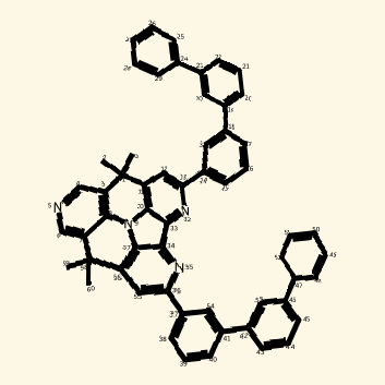 CC1(C)c2cncc3c2-n2c4c1cc(-c1cccc(-c5cccc(-c6ccccc6)c5)c1)nc4c1nc(-c4cccc(-c5cccc(C6C=CC=CC6)c5)c4)cc(c12)C3(C)C